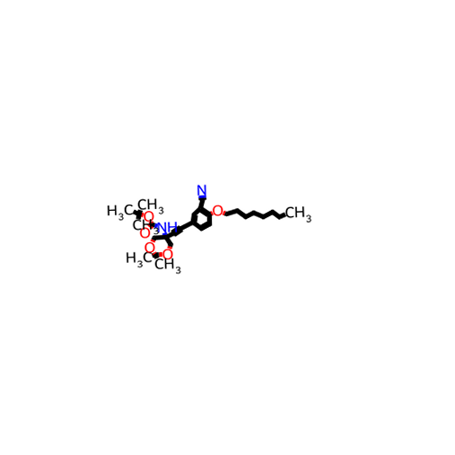 CCCCCCCCOc1ccc(C#CC2(NC(=O)OC(C)(C)C)COC(C)(C)OC2)cc1C#N